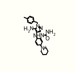 Cc1ccc(Cn2ncc(/N=C3/C=CC(=[N+]4CCCCC4)C=C3NC(N)=O)c2N)cc1